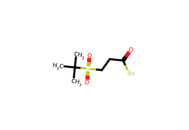 CC(C)(C)S(=O)(=O)CCC(=O)S